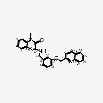 O=C1Nc2ccccc2SC1NCc1cccc(OCc2ccc3ccccc3n2)c1